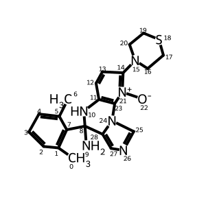 Cc1cccc(C)c1C1(N)Nc2ccc(N3CCSCC3)[n+]([O-])c2-n2cncc21